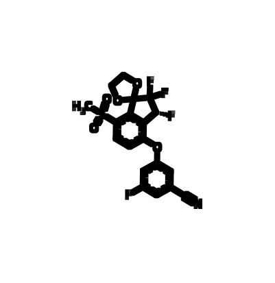 CS(=O)(=O)c1ccc(Oc2cc(F)cc(C#N)c2)c2c1C1(OCCO1)C(F)(F)[C@@H]2F